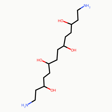 NCCC(O)CCC(O)CCC(O)CCC(O)CCN